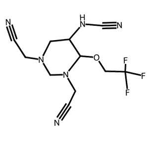 N#CCN1CC(NC#N)C(OCC(F)(F)F)N(CC#N)C1